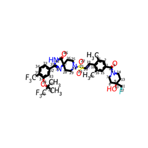 Cc1cc(C(=O)N2CCC(O)(CF)CC2)cc(C)c1/C=C/S(=O)(=O)N1CCC2(CC1)N=C(c1ccc(C(F)(F)F)c(OC(C)(C)C(F)(F)F)c1)NC2=O